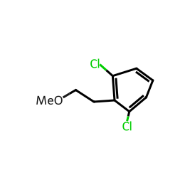 COCCc1c(Cl)cccc1Cl